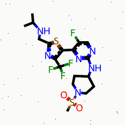 CC(C)NCc1nc(C(F)(F)F)c(-c2nc(NC3CCN(S(C)(=O)=O)CC3)ncc2F)s1